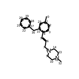 Cc1ccc(/C=C/CN2CCN(C)CC2)c(Cc2ccccc2)c1